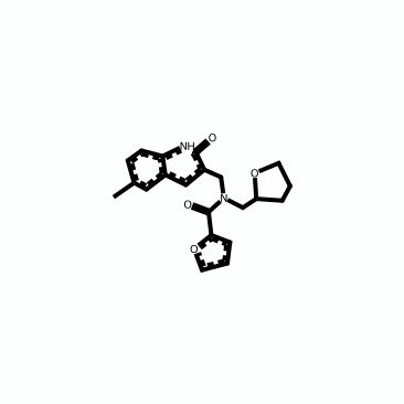 Cc1ccc2[nH]c(=O)c(CN(CC3CCCO3)C(=O)c3ccco3)cc2c1